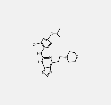 CC(C)Oc1ccc(Nc2nc(CCN3CCOCC3)c3ncnc-3[nH]2)c(Cl)c1